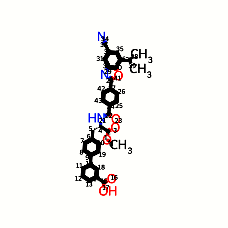 COC(=O)[C@H](Cc1ccc(-c2cccc(C(=O)O)c2)cc1)NC(=O)c1ccc(-c2nc3cc(C#N)cc(C(C)C)c3o2)cc1